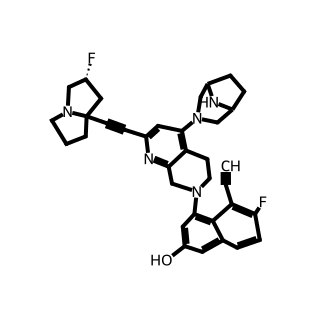 C#Cc1c(F)ccc2cc(O)cc(N3CCc4c(N5CC6CCC(C5)N6)cc(C#CC56CCCN5C[C@H](F)C6)nc4C3)c12